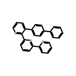 c1ccc(-c2ccc(-c3cccnc3-c3cccc(-c4ccccn4)n3)cc2)cc1